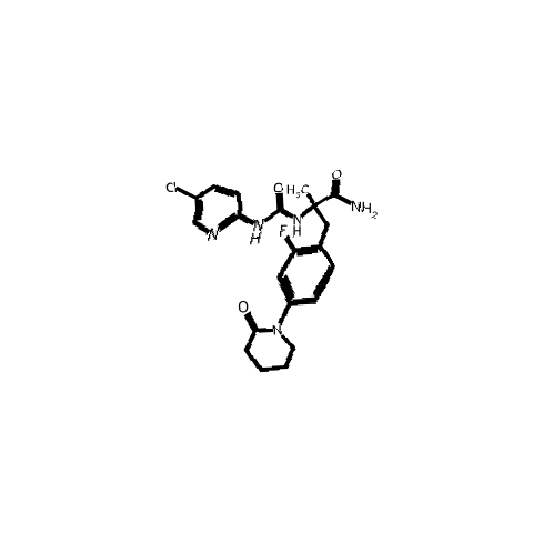 CC(Cc1ccc(N2CCCCC2=O)cc1F)(NC(=O)Nc1ccc(Cl)cn1)C(N)=O